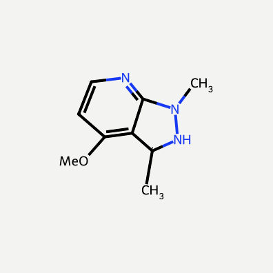 COc1ccnc2c1[C](C)NN2C